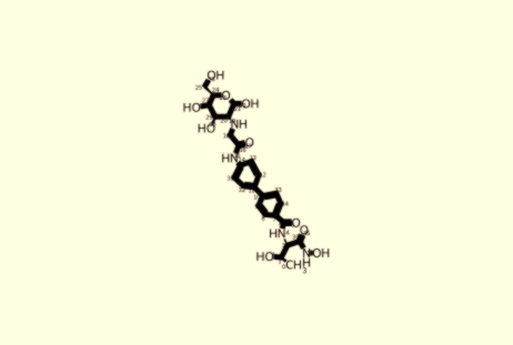 C[C@@H](O)[C@H](NC(=O)c1ccc(-c2ccc(NC(=O)CN[C@H]3C(O)O[C@H](CO)C(O)[C@@H]3O)cc2)cc1)C(=O)NO